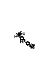 C[C@@H]1CN(c2ccc(NCC3CCC(NS(=O)(=O)C(C)(C)C)CC3)cc2)C[C@H](C)O1